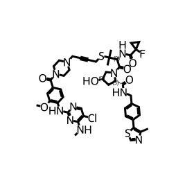 CNc1nc(Nc2ccc(C(=O)N3CCN(CC#CCSC(C)(C)[C@H](NC(=O)C4(F)CC4)C(=O)N4C[C@H](O)C[C@H]4C(=O)NCc4ccc(-c5scnc5C)cc4)CC3)cc2OC)ncc1Cl